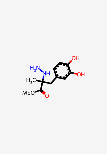 COC(=O)C(C)(Cc1ccc(O)c(O)c1)NN